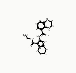 CCOC(=O)c1c(NC(=O)c2cccc3c2OCCO3)sc2c1CCCC2